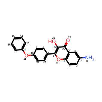 Nc1ccc2oc(-c3ccc(Oc4ccccc4)cc3)c(O)c(=O)c2c1